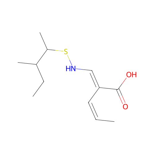 C/C=C\C(=C/NSC(C)C(C)CC)C(=O)O